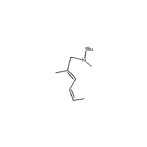 C/C=C\C=C(/C)CN(C)C(C)(C)C